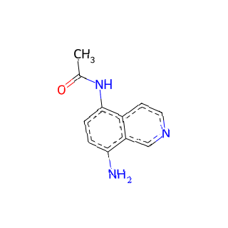 CC(=O)Nc1ccc(N)c2cnccc12